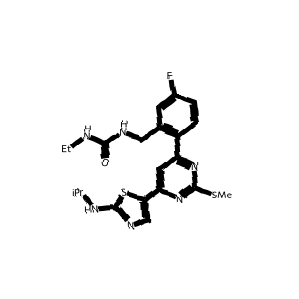 CCNC(=O)NCc1cc(F)ccc1-c1cc(-c2cnc(NC(C)C)s2)nc(SC)n1